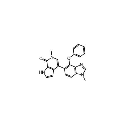 Cn1cc(-c2ccc3c(ncn3C)c2Oc2ccccc2)c2cc[nH]c2c1=O